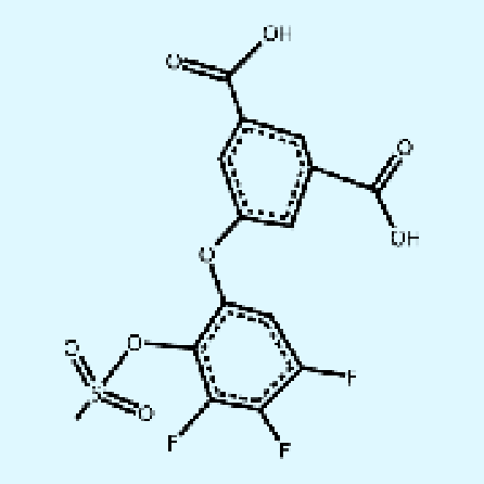 CS(=O)(=O)Oc1c(Oc2cc(C(=O)O)cc(C(=O)O)c2)cc(F)c(F)c1F